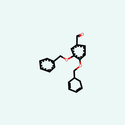 O=Cc1ccc(OCC2C=CC=CC2)c(OCc2ccccc2)c1